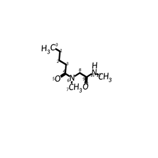 CCCCC(=O)N(C)CC(=O)NC